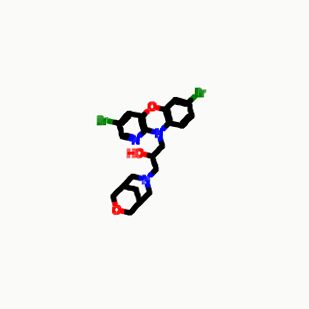 OC(CN1CC2COCC(C2)C1)CN1c2ccc(Br)cc2Oc2cc(Br)cnc21